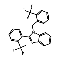 FC(F)(F)c1ccccc1Cn1c(-c2ccccc2C(F)(F)F)nc2ccccc21